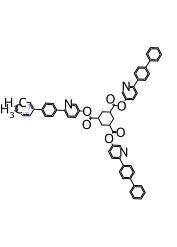 C/C=C\C(=C/C)c1ccc(-c2ccc(OC(=O)C3CC(C(=O)Oc4ccc(-c5ccc(-c6ccccc6)cc5)nc4)CC(C(=O)Oc4ccc(-c5ccc(-c6ccccc6)cc5)nc4)C3)cn2)cc1